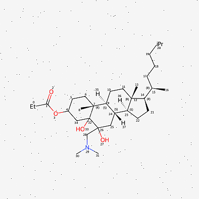 CCC(=O)OC1CC[C@]2(C)[C@H]3CC[C@]4(C)[C@@H]([C@H](C)CCCC(C)C)CC[C@H]4[C@@H]3CC(O)(CN(C)C)C2(O)C1